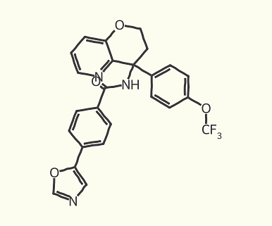 O=C(NC1(c2ccc(OC(F)(F)F)cc2)CCOc2cccnc21)c1ccc(-c2cnco2)cc1